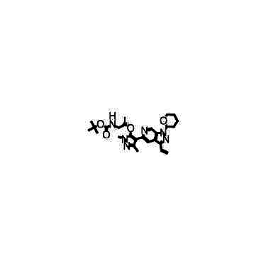 C=Cc1nn(C2CCCCO2)c2cnc(-c3c(C)nn(C)c3O[C@H](C)CNC(=O)OC(C)(C)C)cc12